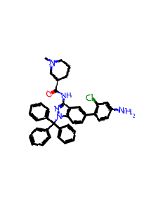 CN1CCC[C@@H](C(=O)Nc2nn(C(c3ccccc3)(c3ccccc3)c3ccccc3)c3ccc(-c4ccc(N)cc4Cl)cc23)C1